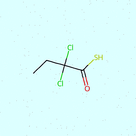 CCC(Cl)(Cl)C(=O)S